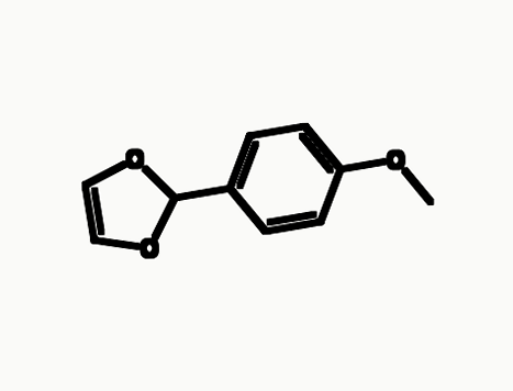 COc1ccc(C2OC=CO2)cc1